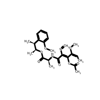 C=N/C(C(=O)N[C@@H](C)C(=O)O[C@@H](C)[C@@H](C)c1ccccc1OC)=C(OC(C)=O)\C(=C/C)OC